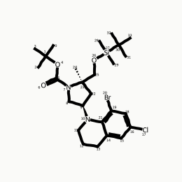 CC(C)(C)OC(=O)N1C[C@H](N2CCCc3cc(Cl)cc(Br)c32)C[C@]1(C)CO[Si](C)(C)C(C)(C)C